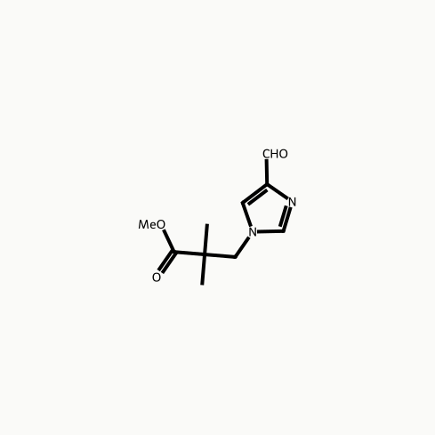 COC(=O)C(C)(C)Cn1cnc(C=O)c1